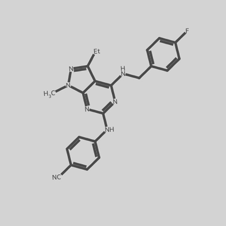 CCc1nn(C)c2nc(Nc3ccc(C#N)cc3)nc(NCc3ccc(F)cc3)c12